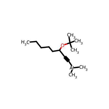 CCCCCC(C#[C][Al]([CH3])[CH3])OC(C)(C)C